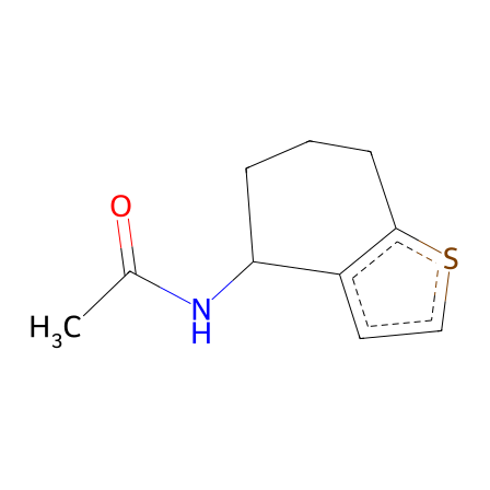 CC(=O)NC1CCCc2sccc21